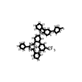 Cc1ccc(-c2ccc3c(c2)c2ccccc2n3-c2ccc(-c3nc(-c4ccccc4)nc(-c4ccccc4)n3)c(-c3cc(C(F)(F)F)cc(C(F)(F)F)c3)c2)cc1